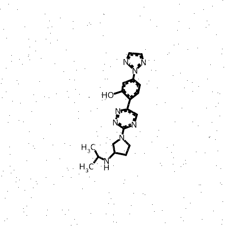 CC(C)NC1CCN(c2ncc(-c3ccc(-n4nccn4)cc3O)nn2)C1